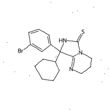 S=C1NC(c2cccc(Br)c2)(C2CCCCC2)C2=NCCCN12